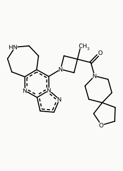 CC1(C(=O)N2CCC3(CCOC3)CC2)CN(c2c3c(nc4ccnn24)CCNCC3)C1